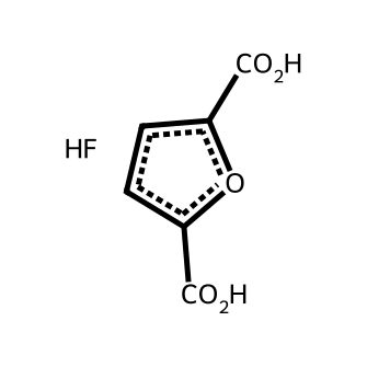 F.O=C(O)c1ccc(C(=O)O)o1